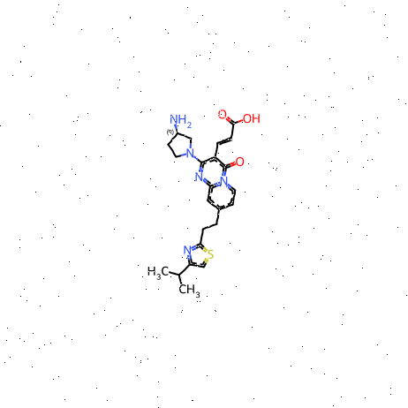 CC(C)c1csc(CCc2ccn3c(=O)c(C=CC(=O)O)c(N4CC[C@@H](N)C4)nc3c2)n1